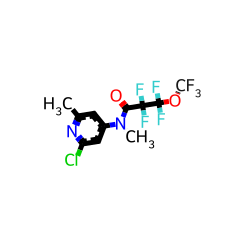 Cc1cc(N(C)C(=O)C(F)(F)C(F)(F)OC(F)(F)F)cc(Cl)n1